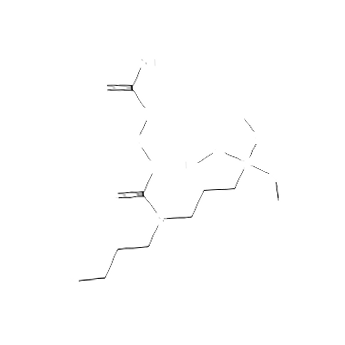 CCO[Si](CCCN(CCCS)C(=O)OSOC(N)=O)(OCC)OCC